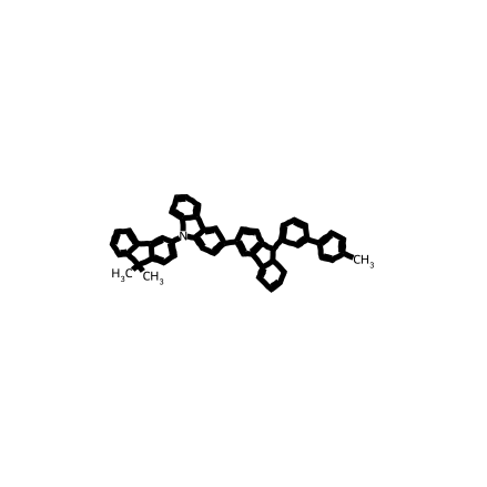 Cc1ccc(-c2cccc(C3c4ccc(-c5ccc6c(c5)c5ccccc5n6-c5ccc6c(c5)-c5ccccc5C6(C)C)cc4C4=CC=CCC43)c2)cc1